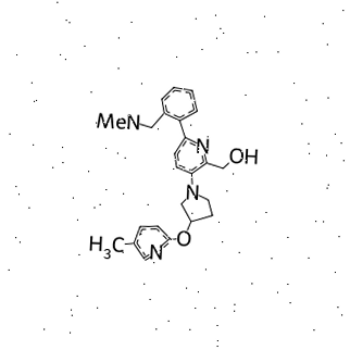 CNCc1ccccc1-c1ccc(N2CCC(Oc3ccc(C)cn3)C2)c(CO)n1